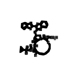 O=C(O)N[C@H]1CCCCCC=C[C@@H]2C[C@@]2(C(=O)NS(=O)(=O)C2CC2)NC(=O)[C@@H]2C[C@@H](Oc3nc4ccccc4nc3-c3nc4ccccc4s3)CN2C1=O